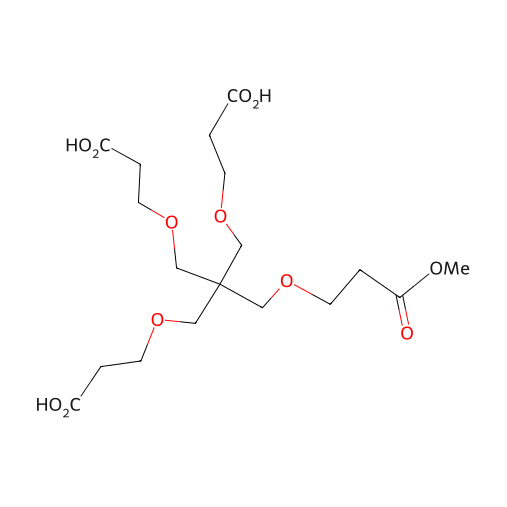 COC(=O)CCOCC(COCCC(=O)O)(COCCC(=O)O)COCCC(=O)O